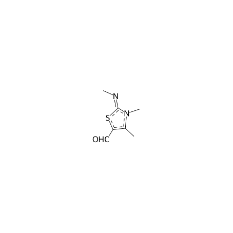 C/N=c1\sc(C=O)c(C)n1C